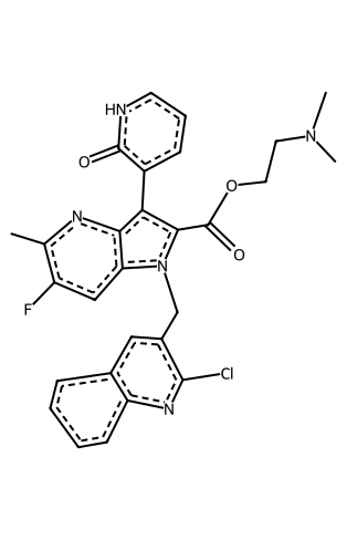 Cc1nc2c(-c3ccc[nH]c3=O)c(C(=O)OCCN(C)C)n(Cc3cc4ccccc4nc3Cl)c2cc1F